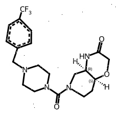 O=C1CO[C@H]2CCN(C(=O)N3CCN(Cc4ccc(C(F)(F)F)cc4)CC3)C[C@H]2N1